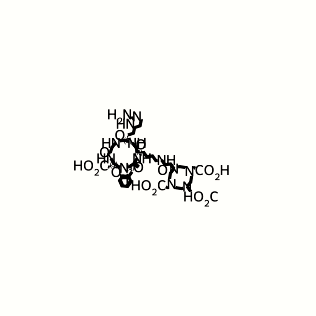 NC1=NCCC(CC[C@@H]2NC(=O)[C@@H](CCCCNC(=O)CN3CCN(CC(=O)O)CCN(CC(=O)O)CCN(CC(=O)O)CC3)NC(=O)[C@H](Cc3ccccc3)NC(=O)[C@H](CC(=O)O)NC(=O)CNC2=O)N1